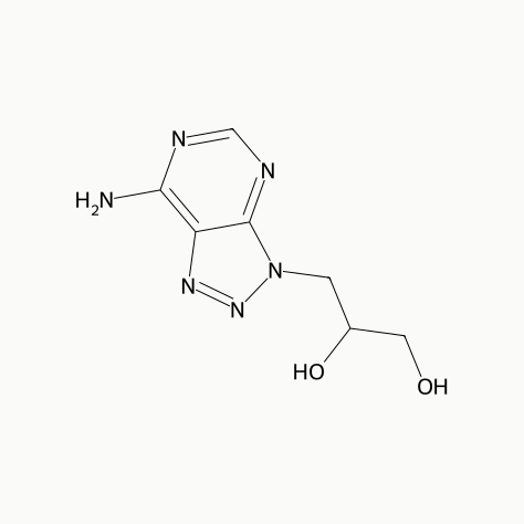 Nc1ncnc2c1nnn2CC(O)CO